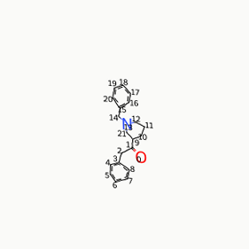 O=C(Cc1ccccc1)C1CCCN(Cc2ccccc2)C1